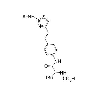 CC(=O)Nc1nc(CCc2ccc(NC(=O)C(NC(=O)O)C(C)(C)C)cc2)cs1